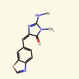 CC(C)NC1=NC(=Cc2ccc3ncsc3c2)C(=O)N1C